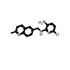 Cc1ccc2cc(CNc3nc(Cl)ccc3N)ccc2n1